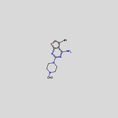 CC(C)c1csc2nc(N3CCN(C=O)CC3)nc(N)c12